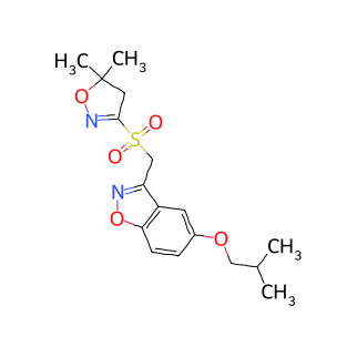 CC(C)COc1ccc2onc(CS(=O)(=O)C3=NOC(C)(C)C3)c2c1